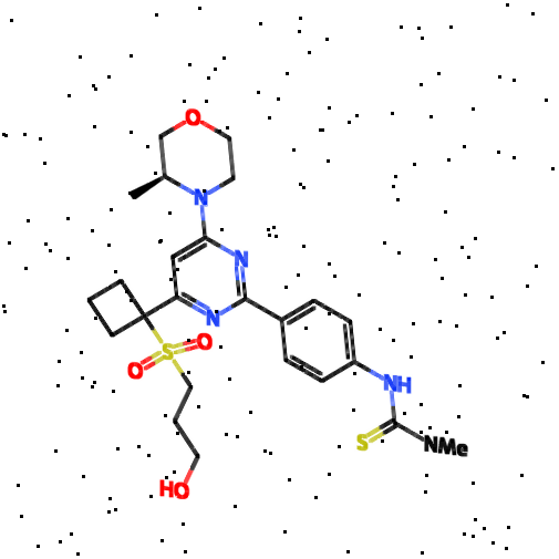 CNC(=S)Nc1ccc(-c2nc(N3CCOC[C@@H]3C)cc(C3(S(=O)(=O)CCCO)CCC3)n2)cc1